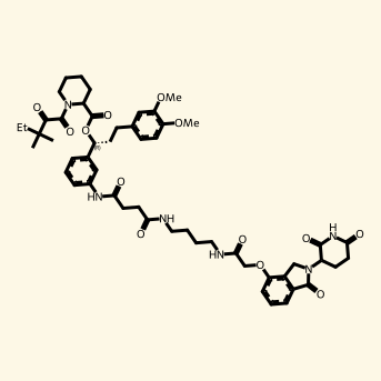 CCC(C)(C)C(=O)C(=O)N1CCCCC1C(=O)O[C@H](CCc1ccc(OC)c(OC)c1)c1cccc(NC(=O)CCC(=O)NCCCCNC(=O)COc2cccc3c2CN(C2CCC(=O)NC2=O)C3=O)c1